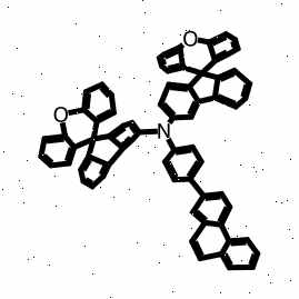 c1ccc2c(c1)Oc1ccccc1C21c2ccccc2-c2cc(N(c3ccc(-c4ccc5c(ccc6ccccc65)c4)cc3)c3ccc4c(c3)-c3ccccc3C43c4ccccc4Oc4ccccc43)ccc21